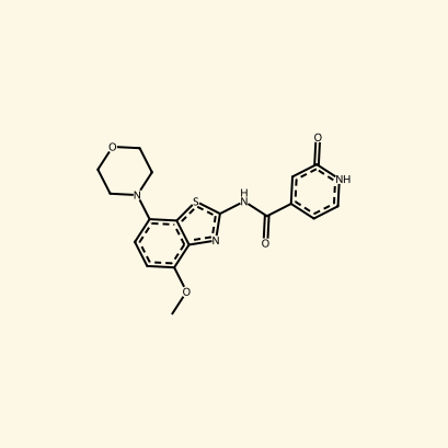 COc1ccc(N2CCOCC2)c2sc(NC(=O)c3cc[nH]c(=O)c3)nc12